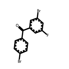 O=C(c1ccc(Br)cc1)c1cc(F)cc(Br)c1